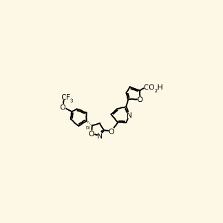 O=C(O)c1ccc(-c2ccc(OC3=NO[C@H](c4ccc(OC(F)(F)F)cc4)C3)cn2)o1